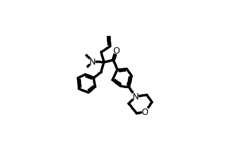 C=CCC(Cc1ccccc1)(C(=O)c1ccc(N2CCOCC2)cc1)N(C)C